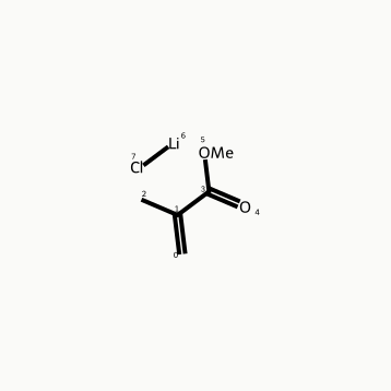 C=C(C)C(=O)OC.[Li][Cl]